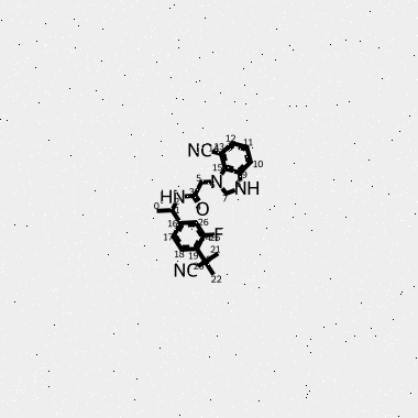 CC(NC(=O)CN1CNc2cccc(C#N)c21)c1ccc(C(C)(C)C#N)c(F)c1